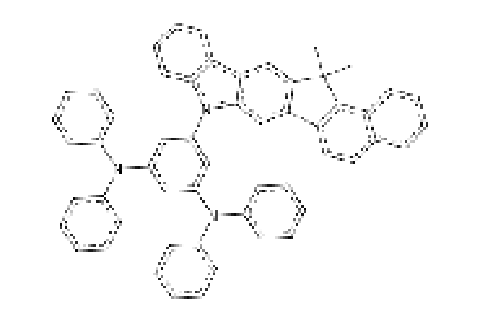 CC1(C)c2cc3c4ccccc4n(-c4cc(N(c5ccccc5)c5ccccc5)cc(N(c5ccccc5)c5ccccc5)c4)c3cc2-c2ccc3ccccc3c21